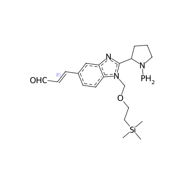 C[Si](C)(C)CCOCn1c(C2CCCN2P)nc2cc(/C=C/C=O)ccc21